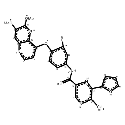 COc1cc2nccc(Oc3ccc(NC(=O)c4cnc(C)c(-c5ccco5)n4)cc3F)c2nc1OC